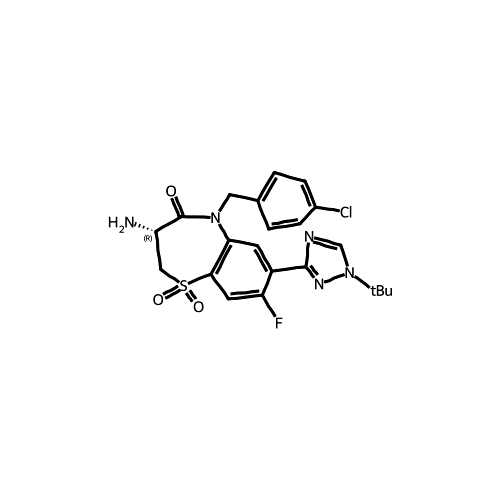 CC(C)(C)n1cnc(-c2cc3c(cc2F)S(=O)(=O)C[C@H](N)C(=O)N3Cc2ccc(Cl)cc2)n1